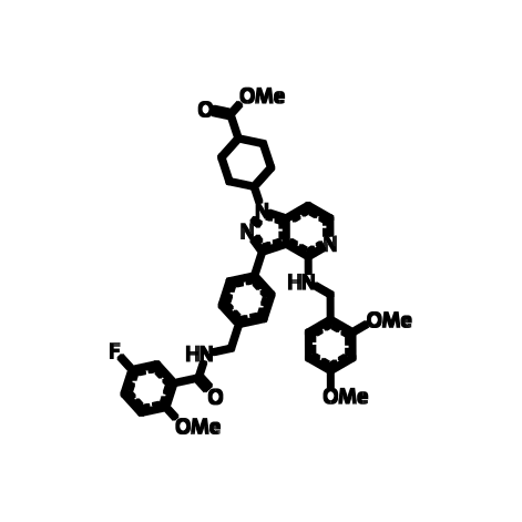 COC(=O)C1CCC(n2nc(-c3ccc(CNC(=O)c4cc(F)ccc4OC)cc3)c3c(NCc4ccc(OC)cc4OC)nccc32)CC1